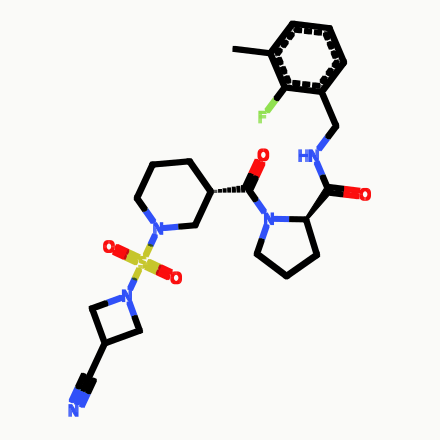 Cc1cccc(CNC(=O)[C@H]2CCCN2C(=O)[C@H]2CCCN(S(=O)(=O)N3CC(C#N)C3)C2)c1F